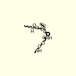 CC/C=C/CNC(=O)COCCOC(COc1cccc(NC(=O)CCOCCOCCNCC)c1)N=[N+]=[N-]